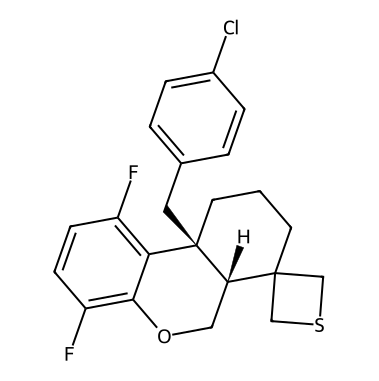 Fc1ccc(F)c2c1OC[C@H]1C3(CCC[C@@]21Cc1ccc(Cl)cc1)CSC3